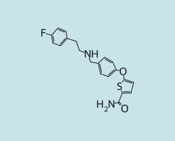 NC(=O)c1ccc(Oc2ccc(CNCCc3ccc(F)cc3)cc2)s1